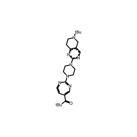 CC(C)(C)C(=O)C1=CN=C(N2CCN(c3ncc4c(n3)CCN(C(C)(C)C)C4)CC2)N=C=C1